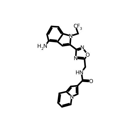 Nc1cccc2c1cc(-c1noc(CNC(=O)c3cc4ccccn4c3)n1)n2CC(F)(F)F